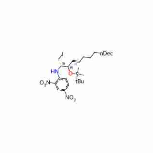 CCCCCCCCCCCCC/C=C/[C@@H](O[Si](C)(C)C(C)(C)C)[C@@H](CI)Nc1ccc([N+](=O)[O-])cc1[N+](=O)[O-]